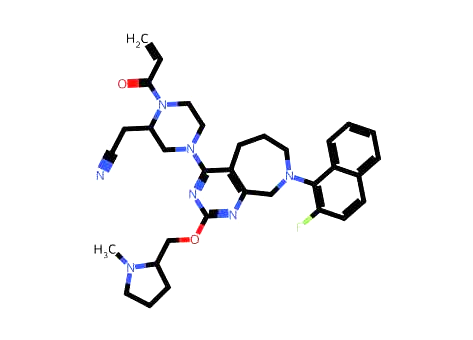 C=CC(=O)N1CCN(c2nc(OCC3CCCN3C)nc3c2CCCN(c2c(F)ccc4ccccc24)C3)CC1CC#N